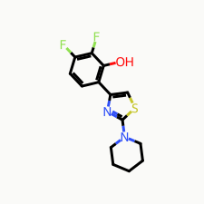 Oc1c(-c2csc(N3CCCCC3)n2)ccc(F)c1F